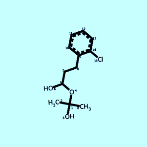 CC(C)(O)OC(O)CCc1ccccc1Cl